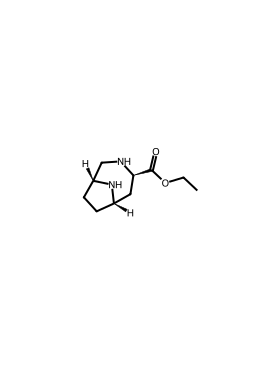 CCOC(=O)[C@H]1C[C@@H]2CC[C@H](CN1)N2